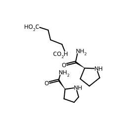 NC(=O)[C@@H]1CCCN1.NC(=O)[C@@H]1CCCN1.O=C(O)CCCC(=O)O